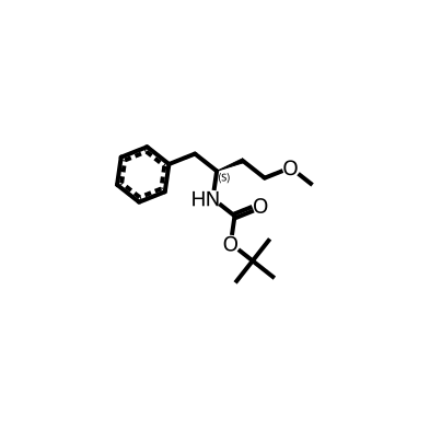 COCC[C@H](Cc1ccccc1)NC(=O)OC(C)(C)C